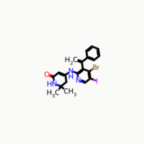 C=C(c1ccccc1)c1c(NC2=CC(=O)NC(C)(C)C2)ncc(I)c1Br